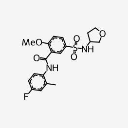 COc1ccc(S(=O)(=O)NC2CCOC2)cc1C(=O)Nc1ccc(F)cc1C